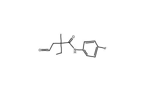 CCC(C)(CC=O)C(=O)Nc1ccc(F)cc1